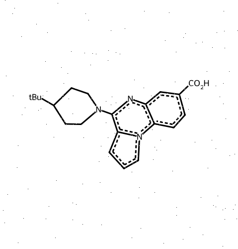 CC(C)(C)C1CCN(c2nc3cc(C(=O)O)ccc3n3cccc23)CC1